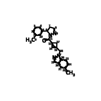 Cc1cccc(C2CC=NN2C(=O)C23CC(Cn4ncc5cc(C)ccc54)(C2)C3)c1